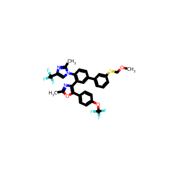 COCSc1cccc(-c2ccc(-n3cc(C(F)(F)F)nc3C)c(-c3nc(C)oc3-c3ccc(OC(F)(F)F)cc3)c2)c1